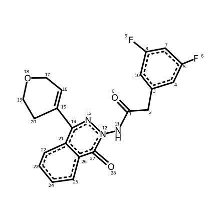 O=C(Cc1cc(F)cc(F)c1)Nn1nc(C2=CCOCC2)c2ccccc2c1=O